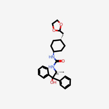 C[C@@H](NC(=O)N[C@H]1CC[C@H](CC2OCCO2)CC1)C(O)(c1ccccc1)c1ccccc1